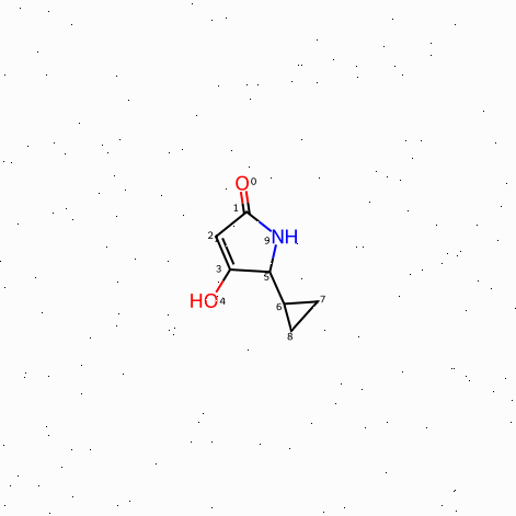 O=C1[C]=C(O)C(C2CC2)N1